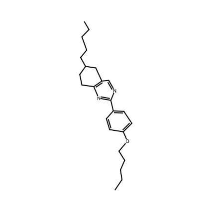 CCCCCOc1ccc(-c2ncc3c(n2)CCC(CCCCC)C3)cc1